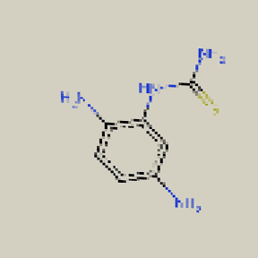 NC(=S)Nc1cc(N)ccc1N